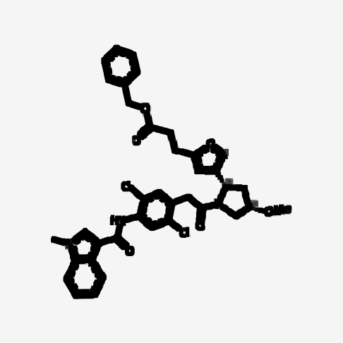 CO[C@H]1C[C@@H](c2cc(CCC(=O)OCc3ccccc3)on2)N(C(=O)Cc2cc(Cl)c(NC(=O)c3cn(C)c4ccccc34)cc2Cl)C1